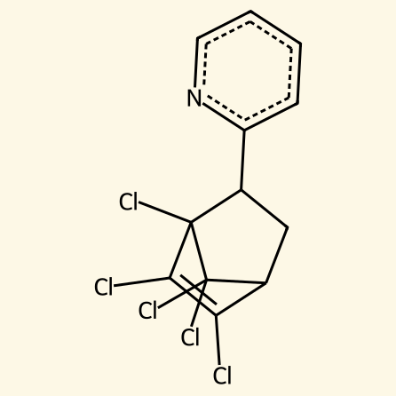 ClC1=C(Cl)C2(Cl)C(c3ccccn3)CC1C2(Cl)Cl